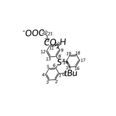 CC(C)(C)c1ccccc1[S+](c1ccccc1)c1ccccc1.O=C([O-])CC(=O)O